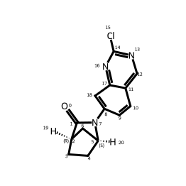 O=C1[C@@H]2CC[C@@H](C2)N1c1ccc2cnc(Cl)nc2c1